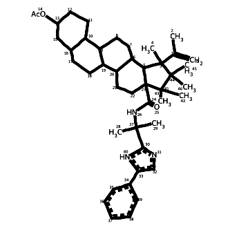 C=C(C)C1(C)C2C3CCC4C5CCC(OC(C)=O)CC5CCC4C3CCC2(C(=O)NC(C)(C)c2ncc(-c3ccccc3)[nH]2)C(C)(C)C1(C)C